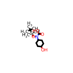 CC(C)(C)[Si](C)(C)ON(C(=O)O)C1CCC(O)CC1